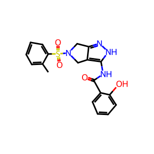 Cc1ccccc1S(=O)(=O)N1Cc2n[nH]c(NC(=O)c3ccccc3O)c2C1